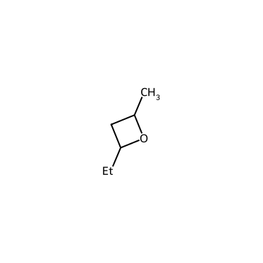 CCC1CC(C)O1